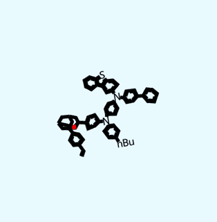 C=Cc1ccc(C23CC4CC(C2)CC(c2ccc(N(c5ccc(CCCC)cc5)c5ccc(N(c6ccc(-c7ccccc7)cc6)c6ccc7sc8ccccc8c7c6)cc5)cc2)(C4)C3)cc1